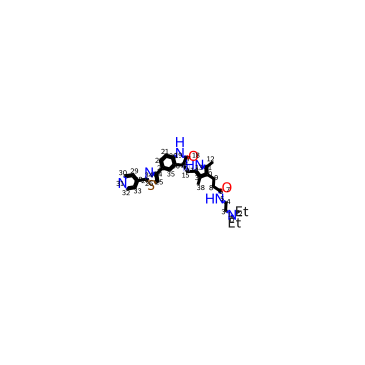 CCN(CC)CCNC(=O)CCc1c(C)[nH]c(/C=C2\C(=O)Nc3ccc(-c4csc(-c5ccncc5)n4)cc32)c1C